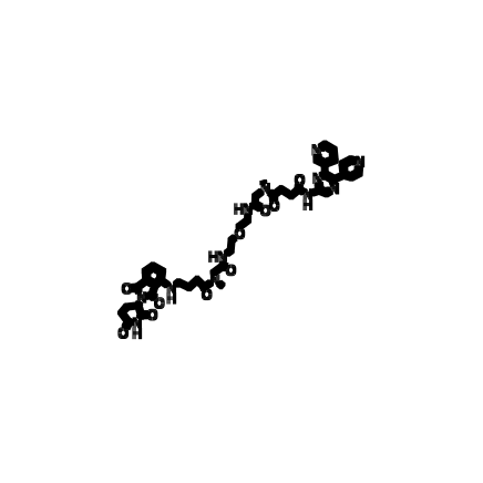 CN(CC(=O)NCCOCCNC(=O)CN(C)C(=O)CCC(=O)Nc1cnc(-c2ccncc2)c(-c2cccnc2)n1)C(=O)CCCNc1cccc2c1C(=O)N(C1CCC(=O)NC1=O)C2=O